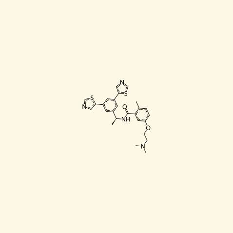 Cc1ccc(OCCN(C)C)cc1C(=O)N[C@@H](C)c1cc(-c2cncs2)cc(-c2cncs2)c1